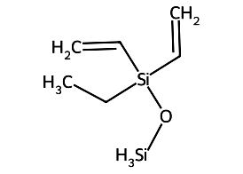 C=C[Si](C=C)(CC)O[SiH3]